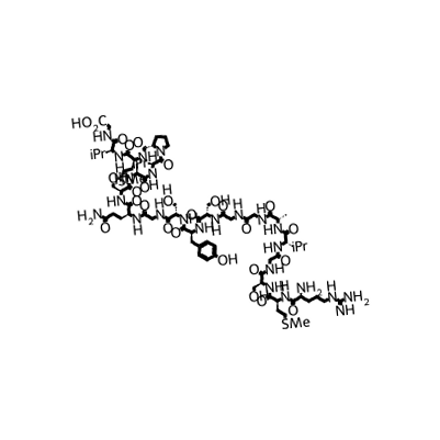 CSCC[C@H](NC(=O)[C@@H](N)CCCNC(=N)N)C(=O)N[C@@H](CO)C(=O)NCC(=O)N[C@H](C(=O)N[C@@H](C)C(=O)NCC(=O)NCC(=O)N[C@@H](CO)C(=O)N[C@@H](Cc1ccc(O)cc1)C(=O)N[C@@H](CO)C(=O)NCC(=O)N[C@@H](CCC(N)=O)C(=O)N[C@@H](CO)C(=O)N[C@@H](C)C(=O)N[C@H](C(=O)N1CCC[C@H]1C(=O)N[C@@H](CCSC)C(=O)N[C@H](C(=O)NCC(=O)O)C(C)C)C(C)C)C(C)C